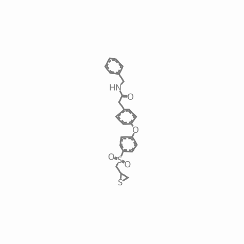 O=C(Cc1ccc(Oc2ccc(S(=O)(=O)CC3CS3)cc2)cc1)NCc1ccccc1